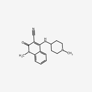 CN1CCC(Nc2c(C#N)c(=O)n(C)c3ccccc23)CC1